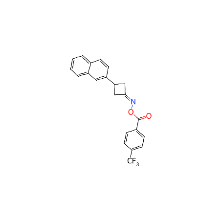 O=C(ON=C1CC(c2ccc3ccccc3c2)C1)c1ccc(C(F)(F)F)cc1